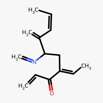 C=CC(=O)/C(=C/C)CC(N=C)C(=C)/C=C\C